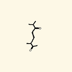 CC(=O)C(C)CCC(=O)C(C)C